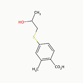 Cc1cc(SCC(C)O)ccc1C(=O)O